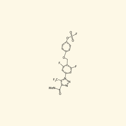 CNC(=O)c1nnn(-c2cc(F)c(COc3ccc(OS(=O)(=O)F)cc3)c(F)c2)c1C(F)(F)F